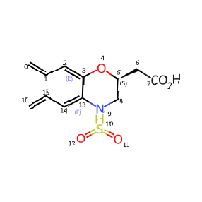 C=C/C=C1/O[C@@H](CC(=O)O)CN([SH](=O)=O)/C1=C/C=C